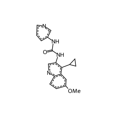 COc1ccc2ncc(NC(=O)Nc3cccnc3)c(C3CC3)c2c1